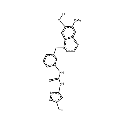 CCOc1cc2c(Sc3cccc(NC(=O)Nc4cc(C(C)(C)C)on4)c3)ncnc2cc1OC